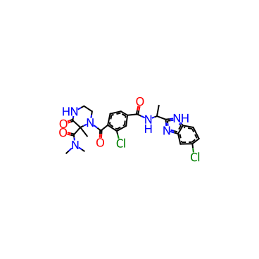 CC(NC(=O)c1ccc(C(=O)N2CCNC(=O)C2(C)C(=O)N(C)C)c(Cl)c1)c1nc2cc(Cl)ccc2[nH]1